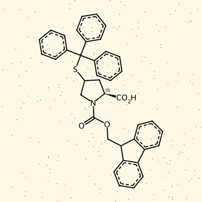 O=C(O)[C@@H]1CC(SC(c2ccccc2)(c2ccccc2)c2ccccc2)CN1C(=O)OCC1c2ccccc2-c2ccccc21